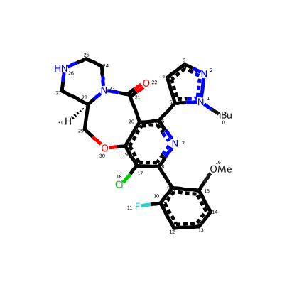 CCC(C)n1nccc1-c1nc(-c2c(F)cccc2OC)c(Cl)c2c1C(=O)N1CCNC[C@@H]1CO2